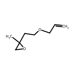 C=CCOCCC1(C)CO1